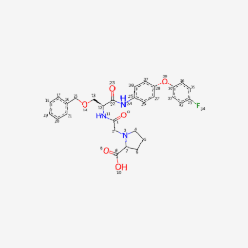 O=C(CN1CCCC1C(=O)O)N[C@@H](COCc1ccccc1)C(=O)Nc1ccc(Oc2ccc(F)cc2)cc1